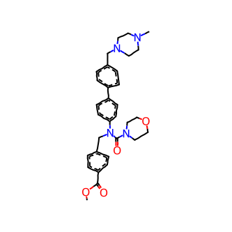 COC(=O)c1ccc(CN(C(=O)N2CCOCC2)c2ccc(-c3ccc(CN4CCN(C)CC4)cc3)cc2)cc1